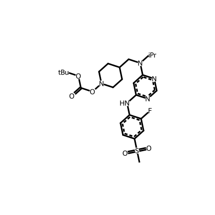 CC(C)N(CC1CCN(OC(=O)OC(C)(C)C)CC1)c1cc(Nc2ccc(S(C)(=O)=O)cc2F)ncn1